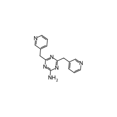 Nc1nc(Cc2cccnc2)nc(Cc2cccnc2)n1